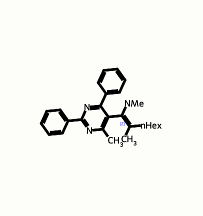 CCCCCC/C(C)=C(\NC)c1c(C)nc(-c2ccccc2)nc1-c1ccccc1